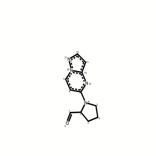 O=CC1CCCN1c1ccn2nccc2n1